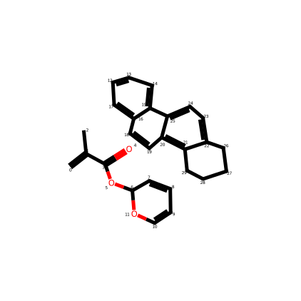 C=C(C)C(=O)OC1C=CC=CO1.c1ccc2c(c1)ccc1c3c(ccc12)CCCC3